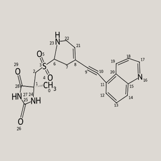 C[C@]1(CS(=O)(=O)C2CC(C#Cc3cccc4ncccc34)=CCN2)NC(=O)NC1=O